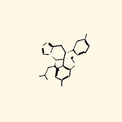 C=C(CC(C)C)[C@H]1n2cnnc2C[C@@H](C2C=CC=C(Cl)C2)[C@]12C(=O)Nc1cc(Cl)ccc12